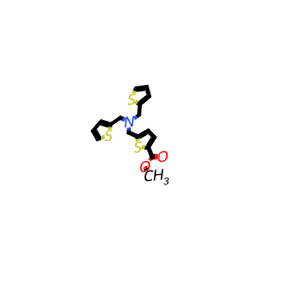 COC(=O)c1ccc(CN(Cc2cccs2)Cc2cccs2)s1